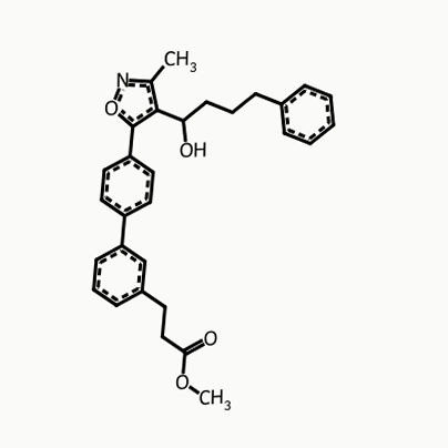 COC(=O)CCc1cccc(-c2ccc(-c3onc(C)c3C(O)CCCc3ccccc3)cc2)c1